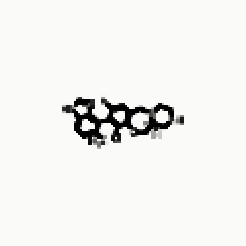 Cc1ccc2[nH]cnc2c1-c1c(F)cc2c(c1Cl)OC[C@H]1CNCCN1C2